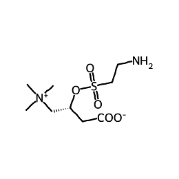 C[N+](C)(C)C[C@@H](CC(=O)[O-])OS(=O)(=O)CCN